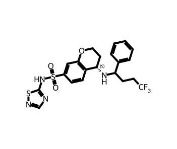 O=S(=O)(Nc1ncns1)c1ccc2c(c1)OCC[C@@H]2NC(CCC(F)(F)F)c1ccccc1